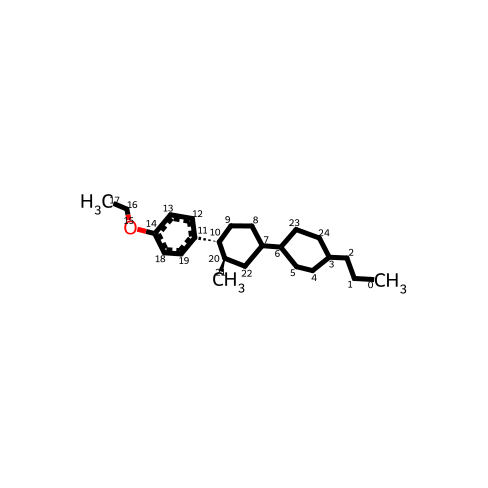 CCCC1CCC(C2CC[C@@H](c3ccc(OCC)cc3)[C@H](C)C2)CC1